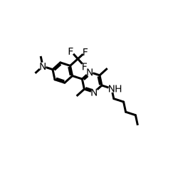 CCCCCNc1nc(C)c(-c2ccc(N(C)C)cc2C(F)(F)F)nc1C